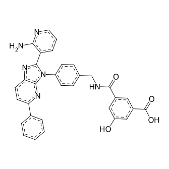 Nc1ncccc1-c1nc2ccc(-c3ccccc3)nc2n1-c1ccc(CNC(=O)c2cc(O)cc(C(=O)O)c2)cc1